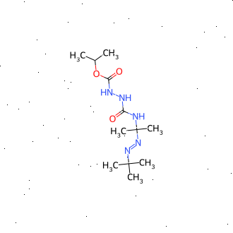 CC(C)OC(=O)NNC(=O)NC(C)(C)/N=N/C(C)(C)C